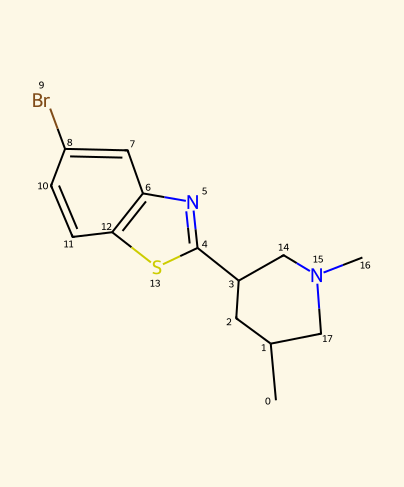 CC1CC(c2nc3cc(Br)ccc3s2)CN(C)C1